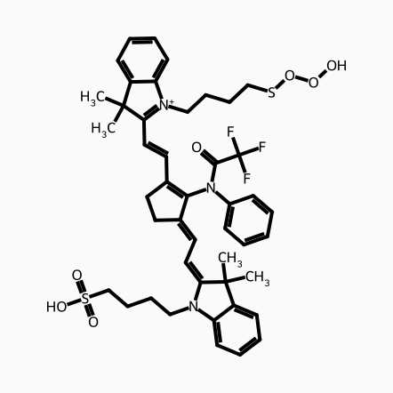 CC1(C)C(/C=C/C2=C(N(C(=O)C(F)(F)F)c3ccccc3)C(=C/C=C3/N(CCCCS(=O)(=O)O)c4ccccc4C3(C)C)/CC2)=[N+](CCCCSOOO)c2ccccc21